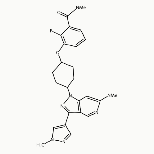 CNC(=O)c1cccc(OC2CCC(n3nc(-c4cnn(C)c4)c4cnc(NC)cc43)CC2)c1F